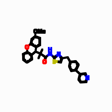 COc1ccc2c(c1)Oc1ccccc1C2C(C)(C)C(=O)Nc1nc(Cc2ccc(-c3cccnc3)cc2)cs1